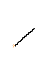 CCCCCCCCC=CCCCCCCCCCCCCP(C)C